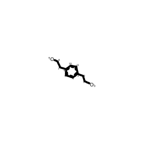 [O]CCc1ccc(CC[O])cc1